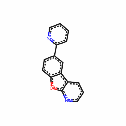 c1ccc(-c2ccc3oc4ncccc4c3c2)nc1